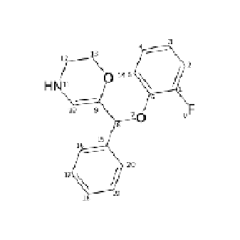 Fc1ccccc1OC(C1=CNCCO1)c1ccccc1